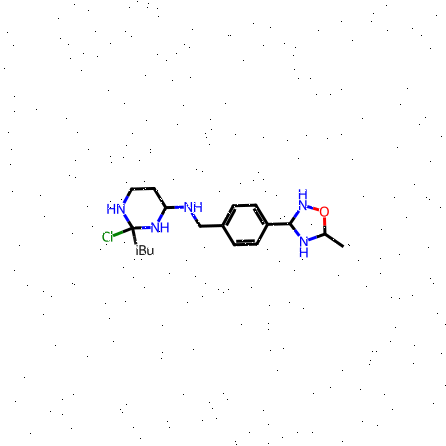 CCC(C)C1(Cl)NCCC(NCc2ccc(C3NOC(C)N3)cc2)N1